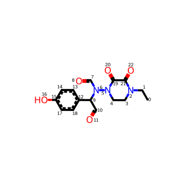 CCN1CCN(N(C=O)C([C]=O)c2ccc(O)cc2)C(=O)C1=O